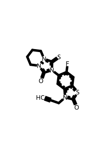 C#CCn1c(=O)sc2cc(F)c(-n3c(=O)n4n(c3=S)CCCC4)cc21